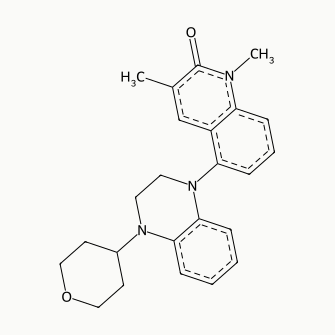 Cc1cc2c(N3CCN(C4CCOCC4)c4ccccc43)cccc2n(C)c1=O